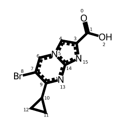 O=C(O)c1cn2cc(Br)c(C3CC3)nc2n1